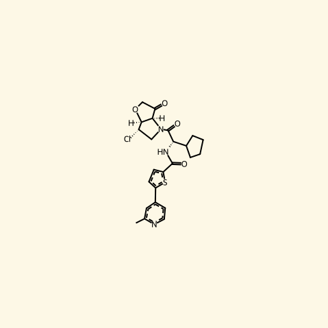 Cc1cc(-c2ccc(C(=O)N[C@H](C(=O)N3C[C@H](Cl)[C@H]4OCC(=O)[C@H]43)C3CCCC3)s2)ccn1